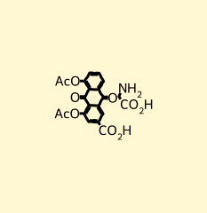 CC(=O)Oc1cccc2c1C(=O)c1c(OC(C)=O)cc(C(=O)O)cc1C2=O.NCC(=O)O